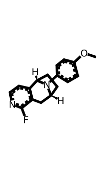 COc1ccc(N2[C@@H]3CC[C@H]2c2ccnc(F)c2C3)cc1